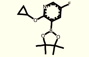 CC1(C)OB(c2cc(F)cnc2OC2CC2)OC1(C)C